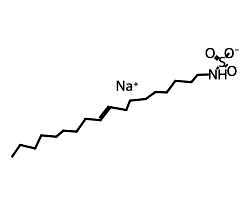 CCCCCCCCC=CCCCCCCCCNS(=O)(=O)[O-].[Na+]